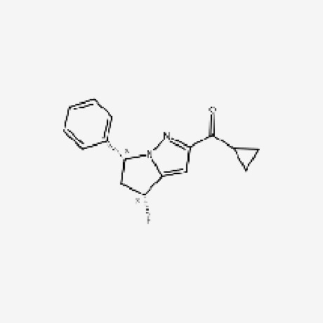 O=C(c1cc2n(n1)[C@@H](c1ccccc1)C[C@H]2F)C1CC1